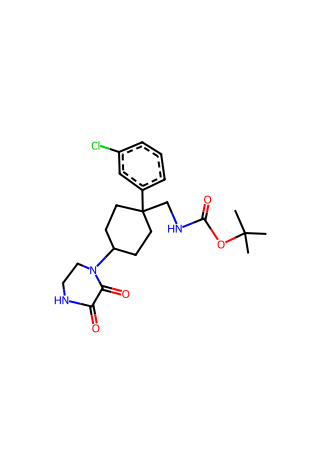 CC(C)(C)OC(=O)NCC1(c2cccc(Cl)c2)CCC(N2CCNC(=O)C2=O)CC1